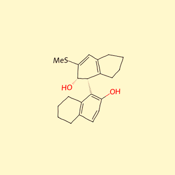 CSC1=CC2=C(CCCC2)[C@H](c2c(O)ccc3c2CCCC3)[C@@H]1O